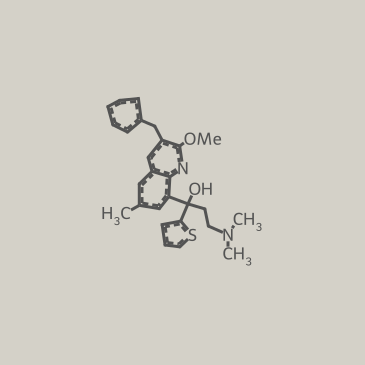 COc1nc2c(C(O)(CCN(C)C)c3cccs3)cc(C)cc2cc1Cc1ccccc1